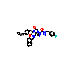 O=C(NCc1ccc(F)cc1)NN1CC(=O)N2[C@@H]1CN(Cc1cccc3ccccc13)C(=O)[C@@H]2Cc1ccc([N+](=O)[O-])cc1